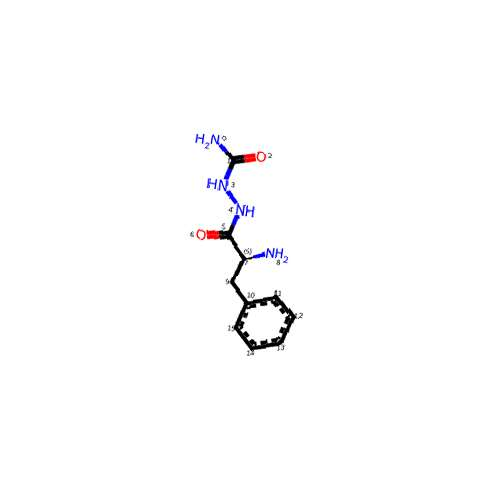 NC(=O)NNC(=O)[C@@H](N)Cc1ccccc1